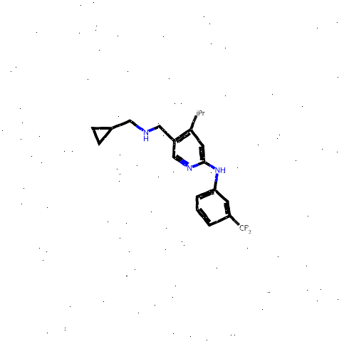 CC(C)c1cc(Nc2cccc(C(F)(F)F)c2)ncc1CNCC1CC1